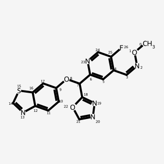 CO/N=C\c1cc(C(Oc2ccc3ncsc3c2)c2nnco2)ncc1F